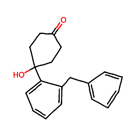 O=C1CCC(O)(c2ccccc2Cc2ccccc2)CC1